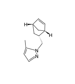 Cc1ccnn1C[C@@H]1C[C@@H]2C=C[C@H]1C2